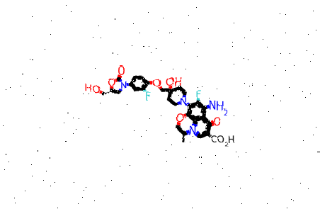 C[C@H]1COc2c(N3CCC(O)(COc4ccc(N5C[C@H](CO)OC5=O)cc4F)CC3)c(F)c(N)c3c(=O)c(C(=O)O)cn1c23